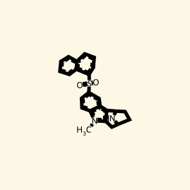 Cn1c2c(c3cc(S(=O)(=O)c4cccc5ccccc45)ccc31)C1CCC(C2)N1